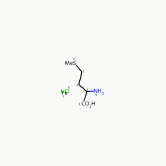 CSCCC(N)C(=O)O.Cl.[Fe]